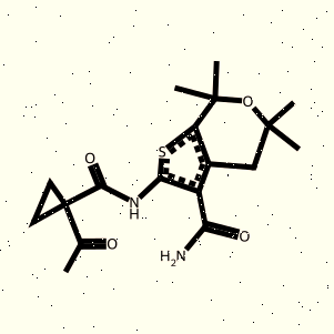 CC(=O)C1(C(=O)Nc2sc3c(c2C(N)=O)CC(C)(C)OC3(C)C)CC1